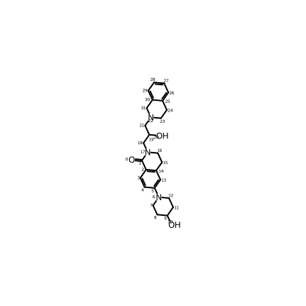 O=C1c2ccc(N3CCC(O)CC3)cc2CCN1CC(O)CN1CCc2ccccc2C1